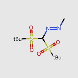 CN=NC(S(=O)(=O)C(C)(C)C)S(=O)(=O)C(C)(C)C